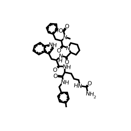 Cc1ccc(CNC(=O)C(CCCNC(N)=O)NC(=O)C(Cc2c[nH]c3ccccc23)NC(=O)C2CCCCN2C(=O)C(Cc2ccccc2)N(C)C(=O)O)cc1